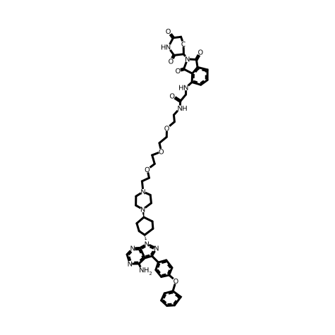 Nc1ncnc2c1c(-c1ccc(Oc3ccccc3)cc1)nn2[C@H]1CC[C@H](N2CCN(CCOCCOCCOCCNC(=O)CNc3cccc4c3C(=O)N(C3CCC(=O)NC3=O)C4=O)CC2)CC1